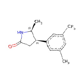 Cc1cc([C@H]2CC(=O)N[C@H]2C)cc(C(F)(F)F)c1